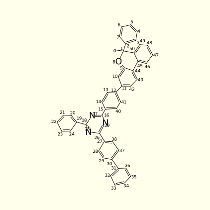 CC1(c2ccccc2)Oc2cc(-c3ccc(-c4nc(-c5ccccc5)nc(-c5ccc(-c6ccccc6)cc5)n4)cc3)ccc2-c2ccccc21